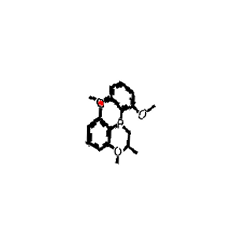 COc1cccc(OC)c1P(CC(C)C)c1c(OC)cccc1OC